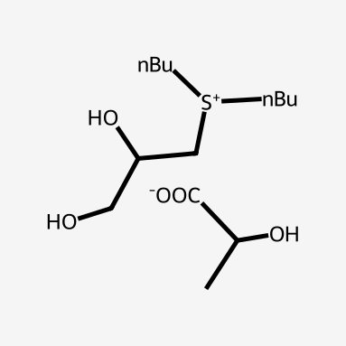 CC(O)C(=O)[O-].CCCC[S+](CCCC)CC(O)CO